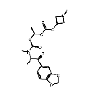 CC(OC(=O)OC1CN(C)C1)OC(=O)N(C)C(C)C(=O)c1ccc2c(c1)OCO2